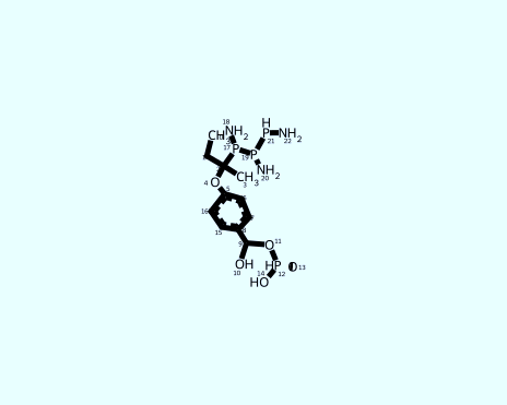 CCC(C)(Oc1ccc(C(O)O[PH](=O)O)cc1)P(N)P(N)PN